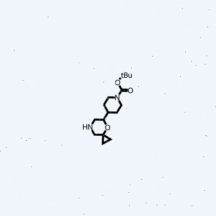 CC(C)(C)OC(=O)N1CCC(C2CNCC3(CC3)O2)CC1